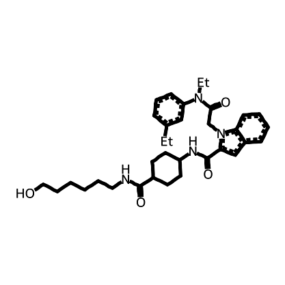 CCc1cccc(N(CC)C(=O)Cn2c(C(=O)NC3CCC(C(=O)NCCCCCCO)CC3)cc3ccccc32)c1